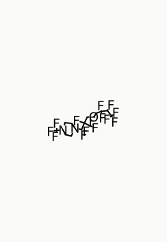 FC(C(F)(F)F)C(F)(F)COCC(F)(C(F)N1CCN(C(F)(F)F)CC1)C(F)(F)F